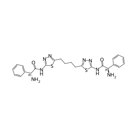 N[C@@H](C(=O)Nc1nnc(CCCCc2nnc(NC(=O)[C@H](N)c3ccccc3)s2)s1)c1ccccc1